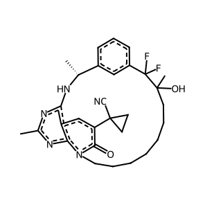 Cc1nc2c3cc(C4(C#N)CC4)c(=O)n(c3n1)CCCCCCCC(C)(O)C(F)(F)c1cccc(c1)[C@@H](C)N2